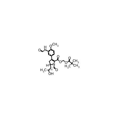 COc1ccc(C2=C(C(=O)OCOC(=O)C(C)(C)C)N3C(=O)[C@H]([C@@H](C)O)[C@H]3C2)cc1NC=O